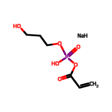 C=CC(=O)OP(=O)(O)OCCCO.[NaH]